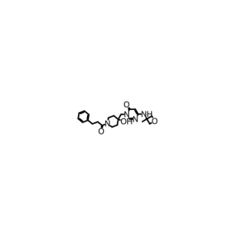 CC1(Nc2cc(=O)n(CC3(O)CCN(C(=O)CCc4ccccc4)CC3)cn2)COC1